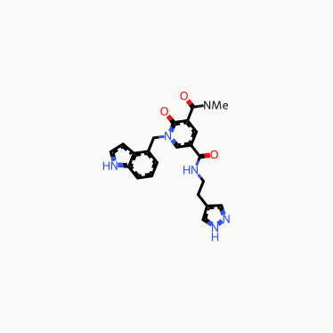 CNC(=O)c1cc(C(=O)NCCc2cn[nH]c2)cn(Cc2cccc3[nH]ccc23)c1=O